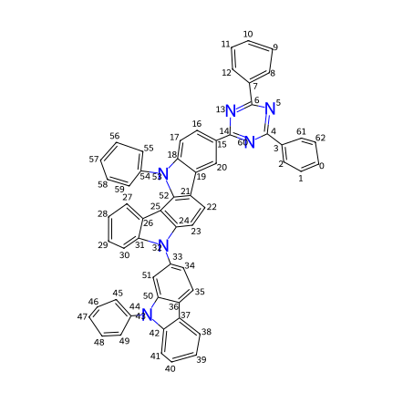 c1ccc(-c2nc(-c3ccccc3)nc(-c3ccc4c(c3)c3ccc5c(c6ccccc6n5-c5ccc6c7ccccc7n(-c7ccccc7)c6c5)c3n4-c3ccccc3)n2)cc1